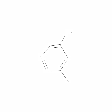 Cc1[c]ncc(C#N)c1